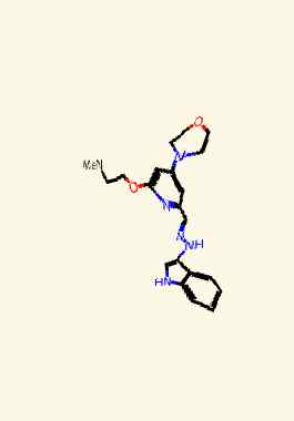 CNCCOc1cc(N2CCOCC2)cc(C=NNc2c[nH]c3ccccc23)n1